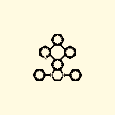 c1ccc(N2CCN(c3ccccc3)c3cc4c(cc32)-c2ccccc2-c2ccccc2-c2cccnc2-4)cc1